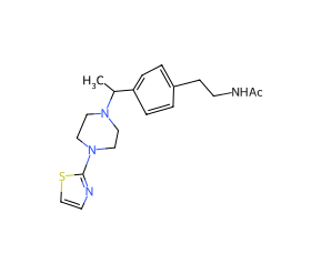 CC(=O)NCCc1ccc(C(C)N2CCN(c3nccs3)CC2)cc1